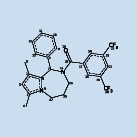 Cc1cc(C)n2c1C(c1ccccc1)N(C(=O)c1cc(C(F)(F)F)cc(C(F)(F)F)c1)CCC2